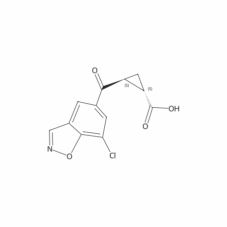 O=C(O)[C@H]1C[C@@H]1C(=O)c1cc(Cl)c2oncc2c1